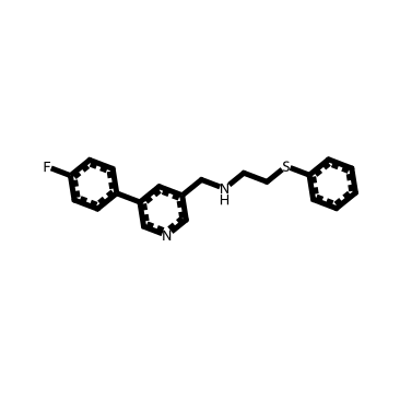 Fc1ccc(-c2cncc(CNCCSc3ccccc3)c2)cc1